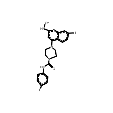 CC(C)Nc1cc(N2CCN(C(=O)Nc3ccc(F)cc3)CC2)c2ccc(Cl)cc2n1